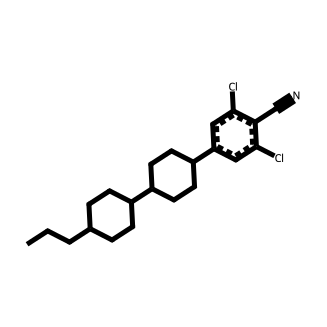 CCCC1CCC(C2CCC(c3cc(Cl)c(C#N)c(Cl)c3)CC2)CC1